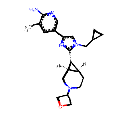 Nc1ncc(-c2cn(CC3CC3)c([C@H]3[C@@H]4CN(C5COC5)CC[C@@H]43)n2)cc1C(F)(F)F